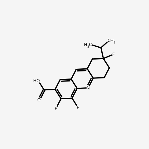 CC(C)C1(F)CCc2nc3c(F)c(F)c(C(=O)O)cc3cc2C1